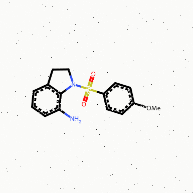 COc1ccc(S(=O)(=O)N2CCc3cccc(N)c32)cc1